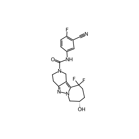 N#Cc1cc(NC(=O)N2CCc3nn4c(c3C2)C(F)(F)CC[C@H](O)C4)ccc1F